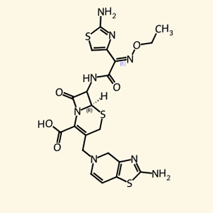 CCO/N=C(/C(=O)NC1C(=O)N2C(C(=O)O)=C(CN3C=Cc4sc(N)nc4C3)CS[C@H]12)c1csc(N)n1